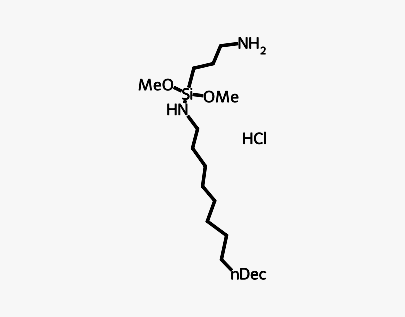 CCCCCCCCCCCCCCCCCCN[Si](CCCN)(OC)OC.Cl